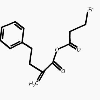 C=C(CCc1ccccc1)C(=O)OC(=O)CCC(C)C